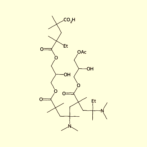 CCC(C)(CC(C)(C)C(=O)O)C(=O)OCC(O)COC(=O)C(C)(C)CC(C)(CC(C)(CC(C)(CC)N(C)C)C(=O)OCC(O)COC(C)=O)N(C)C